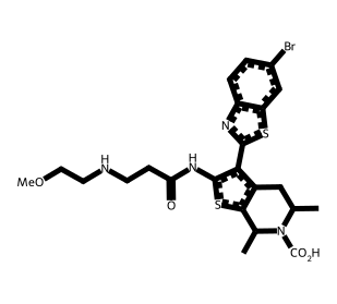 COCCNCCC(=O)Nc1sc2c(c1-c1nc3ccc(Br)cc3s1)CC(C)N(C(=O)O)C2C